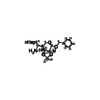 CCCCCCCC(N)[C@H]1COC(OCc2ccccc2)[C@H]2OC(C)(C)O[C@H]12